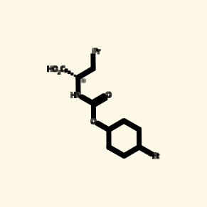 CCC1CCC(OC(=O)N[C@@H](CC(C)C)C(=O)O)CC1